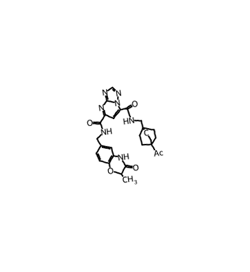 CC(=O)C12CCC(CNC(=O)c3cc(C(=O)NCc4ccc5c(c4)NC(=O)C(C)O5)nc4ncnn34)(CC1)CC2